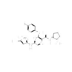 Cc1cc(Nc2cnc(C(=O)N[C@@H]3CCC[C@@H]3O)c(Nc3ccc(Cl)cc3)n2)n[nH]1